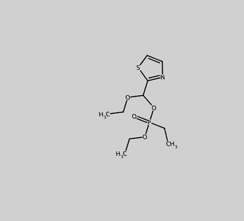 CCOC(OP(=O)(CC)OCC)c1nccs1